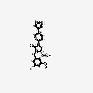 COc1cc(F)cc(CN2C(=O)N(c3ccc(-c4cn[nH]c4)cn3)C[C@H]2CO)c1